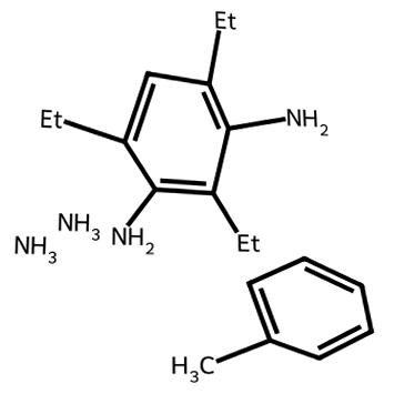 CCc1cc(CC)c(N)c(CC)c1N.Cc1ccccc1.N.N